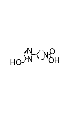 O=C(O)N1CC=C(c2nccc(CO)n2)CC1